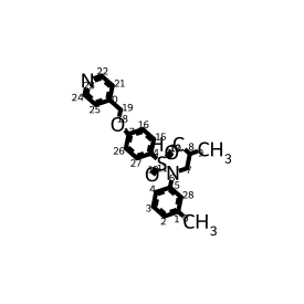 Cc1cccc(N(CC(C)C)S(=O)(=O)c2ccc(OCc3ccncc3)cc2)c1